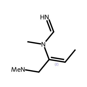 C/C=C(/CNC)N(C)C=N